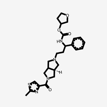 Cc1nc(C(=O)N2CC3CN(CCC(NC(=O)OC4CCOC4)c4ccccc4)C[C@H]3C2)cs1